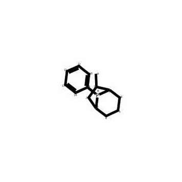 CC1CC2CCCC1P2c1ccccc1